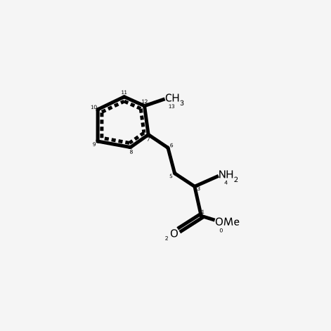 COC(=O)C(N)CCc1ccccc1C